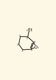 CCC1CCCC2=C1O2